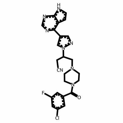 N#CCC(CN1CCN(C(=O)c2cc(F)cc(Cl)c2)CC1)n1cc(-c2ncnc3[nH]ccc23)cn1